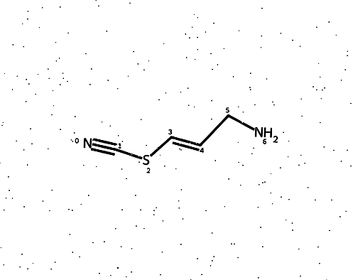 N#CSC=CCN